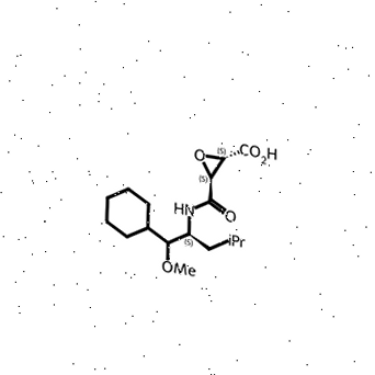 COC(C1CCCCC1)[C@H](CC(C)C)NC(=O)[C@H]1O[C@@H]1C(=O)O